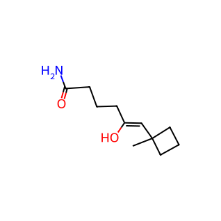 CC1(/C=C(\O)CCCC(N)=O)CCC1